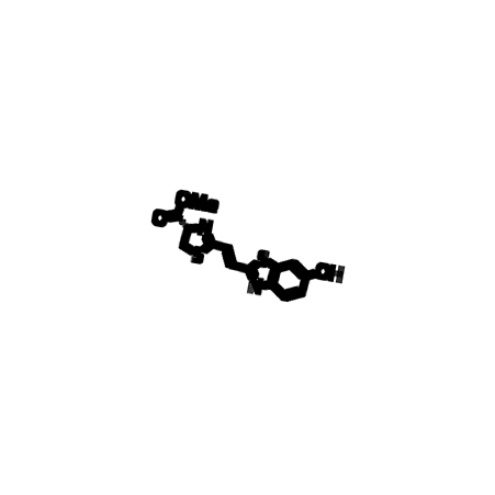 COC(=O)[C@H]1CSC(C=Cc2nc3ccc(O)cc3s2)=N1